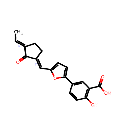 C/C=C1\CC/C(=C\c2ccc(-c3ccc(O)c(C(=O)O)c3)o2)C1=O